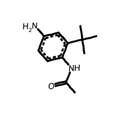 CC(=O)Nc1ccc(N)cc1C(C)(C)C